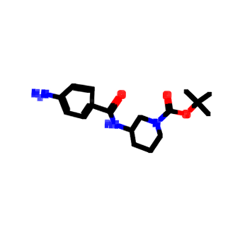 CC(C)(C)OC(=O)N1CCCC(NC(=O)c2ccc(N)cc2)C1